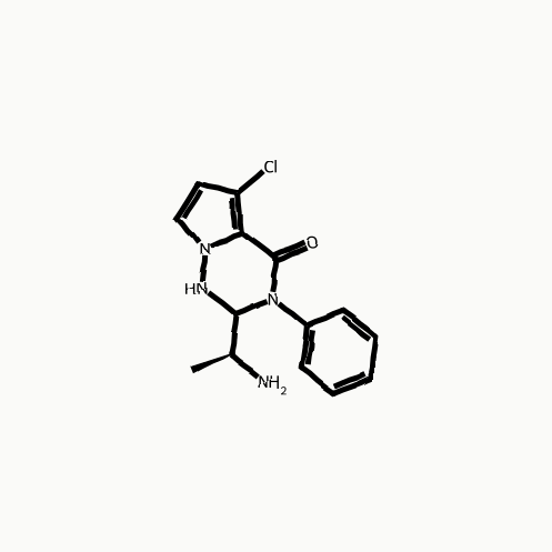 C[C@H](N)C1Nn2ccc(Cl)c2C(=O)N1c1ccccc1